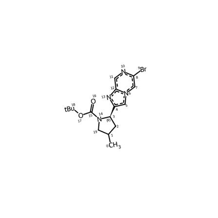 CC1C[C@H](c2cn3cc(Br)ncc3n2)N(C(=O)OC(C)(C)C)C1